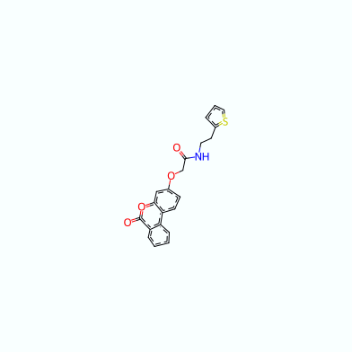 O=C(COc1ccc2c(c1)oc(=O)c1ccccc12)NCCc1cccs1